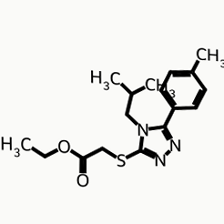 CCOC(=O)CSc1nnc(-c2ccc(C)cc2)n1CC(C)C